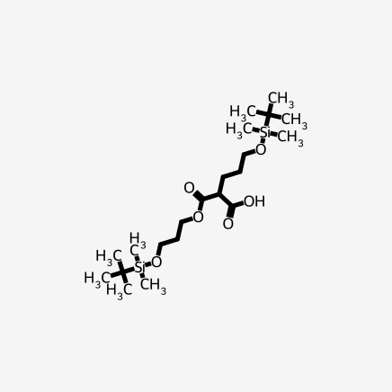 CC(C)(C)[Si](C)(C)OCCCOC(=O)C(CCCO[Si](C)(C)C(C)(C)C)C(=O)O